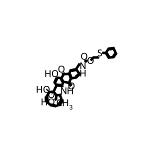 C[C@@H](O)[C@@]12O[C@]13c1cc(O)c4c(c1NC2C#C/C=C\C#C[C@H]3O)C(=O)c1ccc(CNC(=O)OCCSc2ccccc2)cc1C4=O